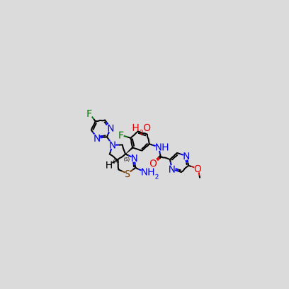 COc1cnc(C(=O)Nc2ccc(F)c([C@]34CN(c5ncc(F)cn5)C[C@H]3CSC(N)=N4)c2)cn1.O